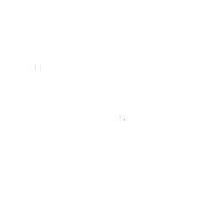 OB(O)c1ccc2c(c1)-c1cccc3cccc(c13)N2c1ccccc1